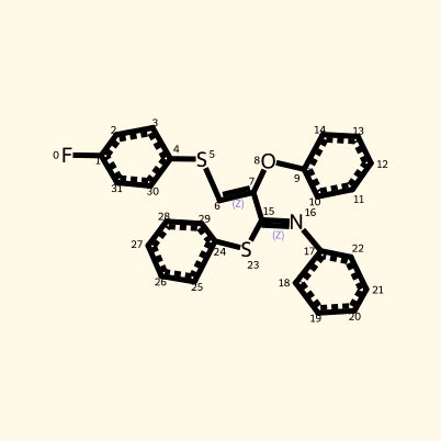 Fc1ccc(S/C=C(Oc2ccccc2)/C(=N/c2ccccc2)Sc2ccccc2)cc1